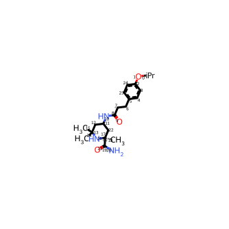 CC(C)Oc1ccc(C[CH]C(=O)NC2CC(C)(C)N[C@](C)(C(N)=O)C2)cc1